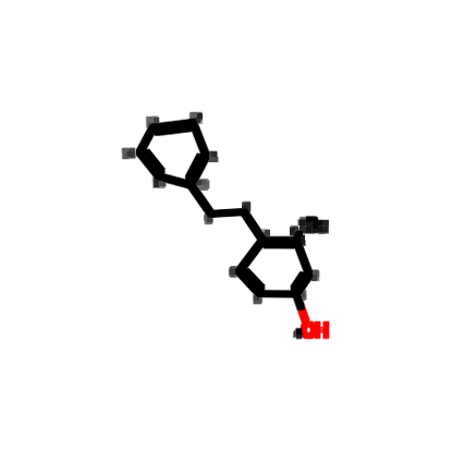 CC(C)(C)c1cc(O)ccc1CCc1ccccc1